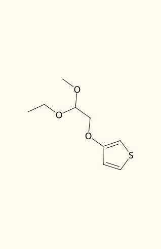 CCOC(COc1ccsc1)OC